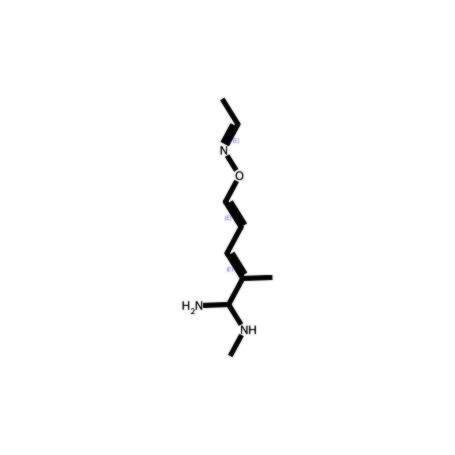 C/C=N/O/C=C/C=C(\C)C(N)NC